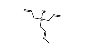 C=CC[Si](O)(CC=C)CC=CF